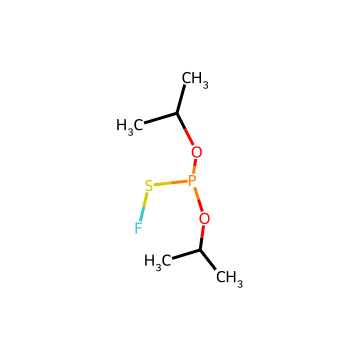 CC(C)OP(OC(C)C)SF